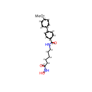 COc1ccc(-c2ccc(C(=O)NCCCCCC(=O)NO)cc2)cc1